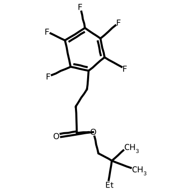 CCC(C)(C)COC(=O)CCc1c(F)c(F)c(F)c(F)c1F